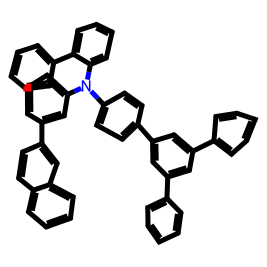 c1ccc(-c2cc(-c3ccccc3)cc(-c3ccc(N(c4cccc(-c5ccc6ccccc6c5)c4)c4ccccc4-c4ccccc4)cc3)c2)cc1